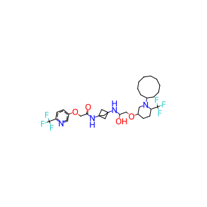 O=C(COc1ccc(C(F)(F)F)nc1)NC12CC(NC(O)COC3CCC(C(F)(F)F)N(C4CCCCCCCCC4)C3)(C1)C2